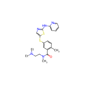 CCN(CC)CCN(C)C(=O)c1cc(Sc2cnc(Nc3ccccn3)s2)ccc1C